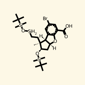 CC(C)(C)[Si](C)(C)O[SiH2]CC[C@]1(C)[C@H](O[Si](C)(C)C(C)(C)C)C[C@@H]2Oc3c(C(=O)O)cc(Br)cc3[C@@H]21